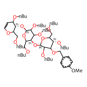 CCCCOCC1OC=CC(OCCCC)[C@@H]1O[C@@H]1OC(COCCCC)[C@H](O[C@H]2OC(COCCCC)[C@H](OCCCC)C(OCc3ccc(OC)cc3)C2OCCCC)C(OCCCC)C1OCCCC